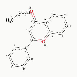 CCOC(C)=O.O=c1cc(-c2ccccc2)oc2ccccc12